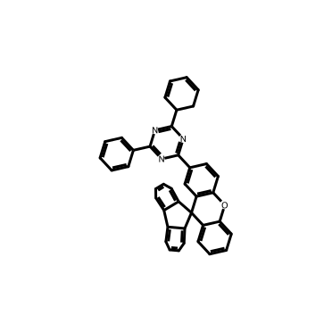 C1=CCC(c2nc(-c3ccccc3)nc(-c3ccc4c(c3)C3(c5ccccc5O4)c4ccccc4-c4ccccc43)n2)C=C1